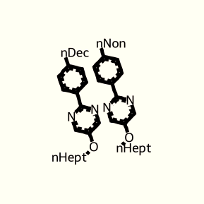 CCCCCCCCCCc1ccc(-c2ncc(OCCCCCCC)cn2)cc1.CCCCCCCCCc1ccc(-c2ncc(OCCCCCCC)cn2)cc1